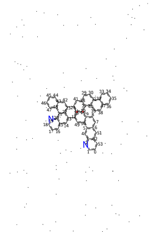 c1cnc2cc3c(ccc4ccc(-c5cc6cccnc6c6c5c(-c5ccc7c(ccc8c9ccccc9ccc78)c5)cc5ccccc56)cc43)cc2c1